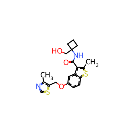 Cc1ncsc1COc1ccc2sc(C)c(C(=O)NC3(CO)CCC3)c2c1